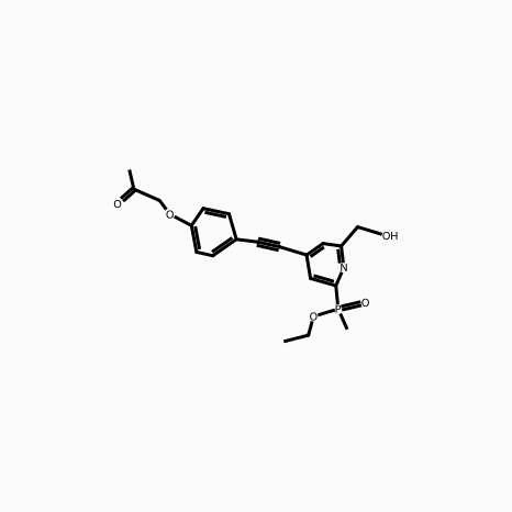 CCOP(C)(=O)c1cc(C#Cc2ccc(OCC(C)=O)cc2)cc(CO)n1